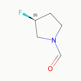 O=CN1CC[C@H](F)C1